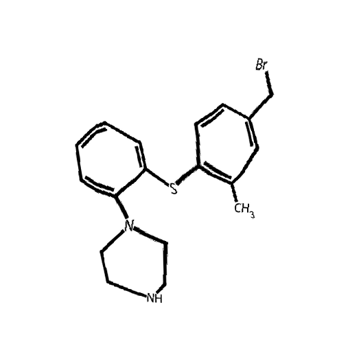 Cc1cc(CBr)ccc1Sc1ccccc1N1CCNCC1